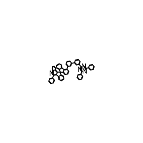 c1ccc(-c2nc(-c3ccccc3)nc(-c3cccc(-c4cccc(-c5cccc6c5-c5ccccc5C65c6ccccc6-c6c(-c7ccccc7)nc7ccccc7c65)c4)c3)n2)cc1